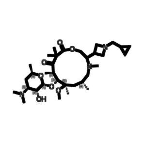 CO[C@]1(C)C[C@@H](C)CN(C)C(C2CN(CC3CC3)C2)COC(=O)C(C)(C)C(=O)[C@H](C)[C@H]1O[C@@H]1O[C@H](C)C[C@H](N(C)C)[C@H]1O